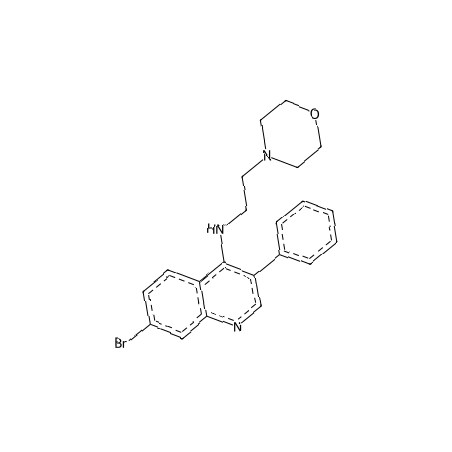 Brc1ccc2c(NCCN3CCOCC3)c(-c3ccccc3)cnc2c1